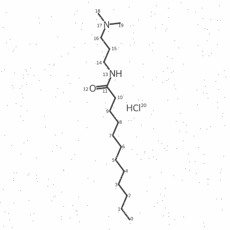 CCCCCCCCCCCC(=O)NCCCN(C)C.Cl